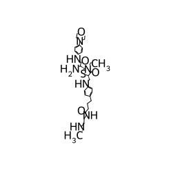 CCNCCNC(=O)CCCc1ccc(NC[C@H]2S[C@@H](C(N)C(=O)Nc3ccc(N4CCOCC4)cc3)N(CC)C2=O)cc1